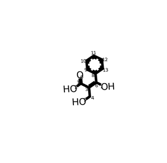 O=C(O)C(CO)=C(O)c1ccccc1